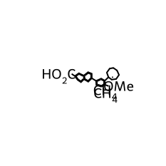 C.C.COc1ccc(-c2ccc3cc(C(=O)O)ccc3c2)cc1[C]1CCCCCCC1